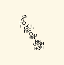 CC[C@]1(O)CN[C@@H](C(=O)NCCNC(=O)c2ccc(NC(=O)c3ncc(-c4ccc(OCC#N)c(F)c4F)n3C)cc2Cl)C1